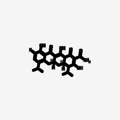 CN(C)c1cc(F)c(O)c2c1C[C@H]1C[C@@H]3C(C(=O)C(C(N)=O)=C(O)C3N(C)C)C(O)=C1C2=O